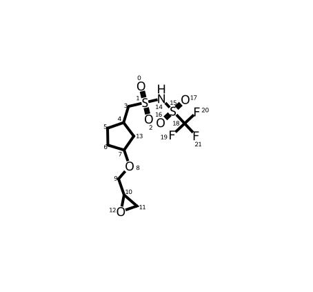 O=S(=O)(CC1CCC(OCC2CO2)C1)NS(=O)(=O)C(F)(F)F